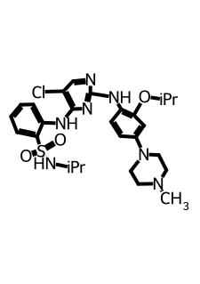 CC(C)NS(=O)(=O)c1ccccc1Nc1nc(Nc2ccc(N3CCN(C)CC3)cc2OC(C)C)ncc1Cl